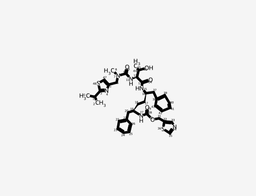 CC(C)c1nc(CN(C)C(=O)N[C@H](C(=O)N[C@H](CC[C@H](Cc2ccccc2)NC(=O)OCc2cncs2)Cc2ccccc2)C(C)O)cs1